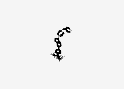 OC(c1ccc(-c2ccc3c(c2)CCC3N2CCN(Cc3ccncc3)CC2)cc1)(C(F)(F)F)C(F)(F)F